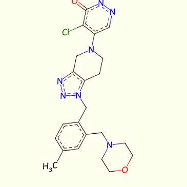 Cc1ccc(Cn2nnc3c2CCN(c2cn[nH]c(=O)c2Cl)C3)c(CN2CCOCC2)c1